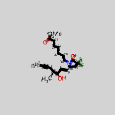 CCCC#CC[C@H](C)[C@H](O)C=C[C@H]1CC(F)(F)C(=O)N1CCCCCCC(=O)OC